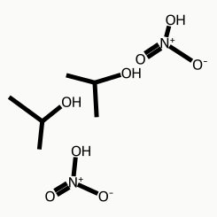 CC(C)O.CC(C)O.O=[N+]([O-])O.O=[N+]([O-])O